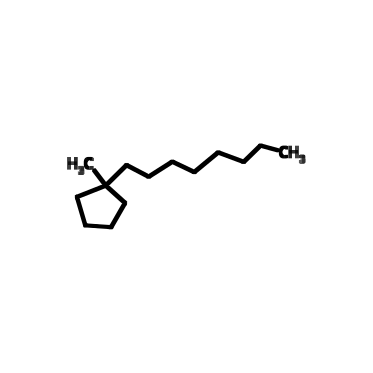 CCCCCCCCC1(C)CCCC1